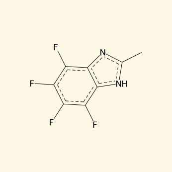 Cc1nc2c(F)c(F)c(F)c(F)c2[nH]1